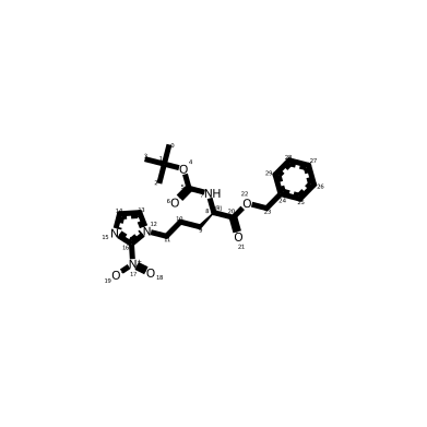 CC(C)(C)OC(=O)N[C@H](CCCn1ccnc1[N+](=O)[O-])C(=O)OCc1ccccc1